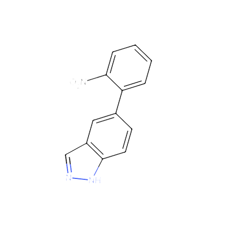 O=[N+]([O-])c1ccccc1-c1ccc2[nH]ncc2c1